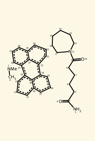 CNC.NC(=O)CCCCC(=O)N1CCCCCC1.c1cc2cccc3c4cccc5cccc(c(c1)c23)c54